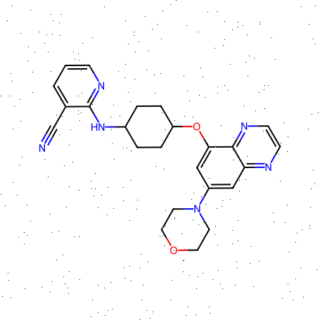 N#Cc1cccnc1NC1CCC(Oc2cc(N3CCOCC3)cc3nccnc23)CC1